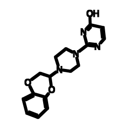 Oc1ccnc(N2CCN(C3COc4ccccc4O3)CC2)n1